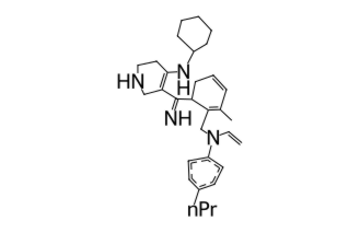 C=CN(CC1=C(C)C=CCC1C(=N)C1=C(NC2CCCCC2)CCNC1)c1ccc(CCC)cc1